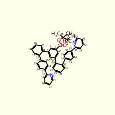 CC1(C)OB(c2cc(-c3ccccc3-c3ccc(-c4ccccn4)cc3)cc(-c3ccccc3-c3ccc(-c4ccccn4)cc3)c2)OC1(C)C